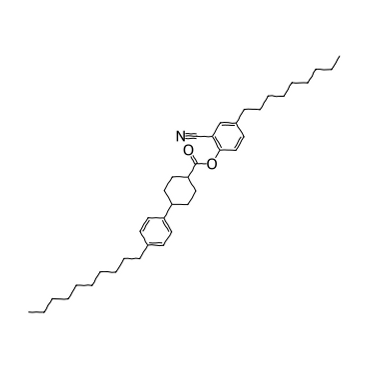 CCCCCCCCCCc1ccc(C2CCC(C(=O)Oc3ccc(CCCCCCCCC)cc3C#N)CC2)cc1